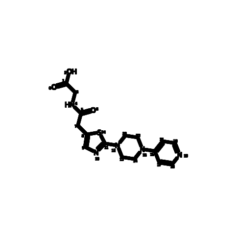 O=C(O)CNC(=O)Cc1cnc(N2CCN(c3ccncc3)CC2)s1